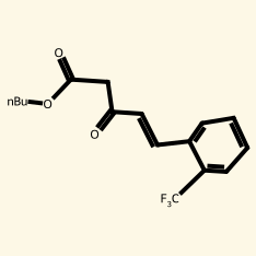 CCCCOC(=O)CC(=O)C=Cc1ccccc1C(F)(F)F